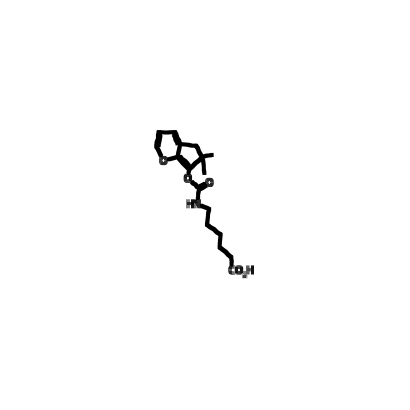 CC1(C)CC2=CC=COC2=C1OC(=O)NCCCCCC(=O)O